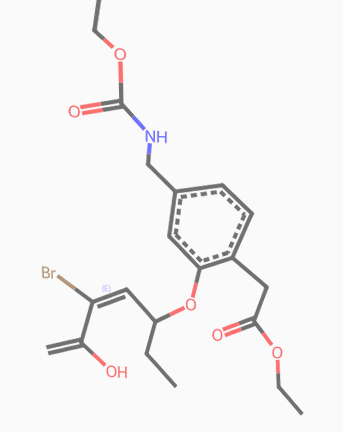 C=C(O)/C(Br)=C\C(CC)Oc1cc(CNC(=O)OCC)ccc1CC(=O)OCC